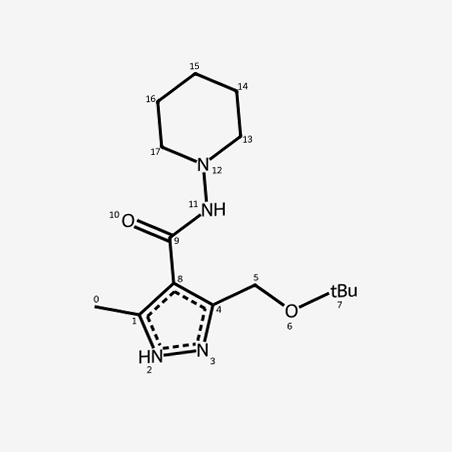 Cc1[nH]nc(COC(C)(C)C)c1C(=O)NN1CCCCC1